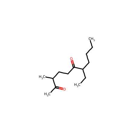 CCCCC(CC)C(=O)CCC(C)C(C)=O